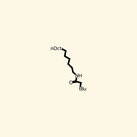 CCCCCCCCCCCCCCNC(=O)CC(C)(C)C